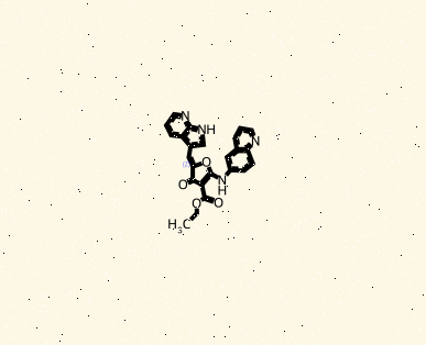 CCOC(=O)C1=C(Nc2ccc3ncccc3c2)O/C(=C\c2c[nH]c3ncccc23)C1=O